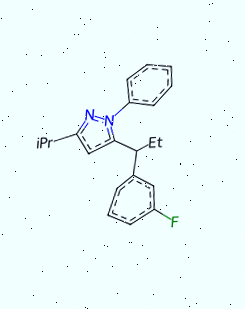 [CH2]CC(c1cccc(F)c1)c1cc(C(C)C)nn1-c1ccccc1